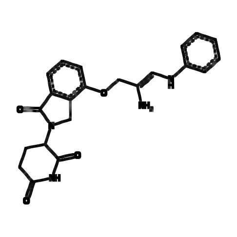 N/C(=C\Nc1ccccc1)COc1cccc2c1CN(C1CCC(=O)NC1=O)C2=O